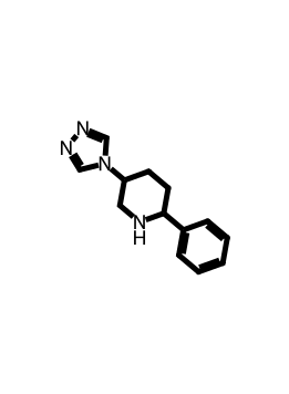 c1ccc(C2CCC(n3cnnc3)CN2)cc1